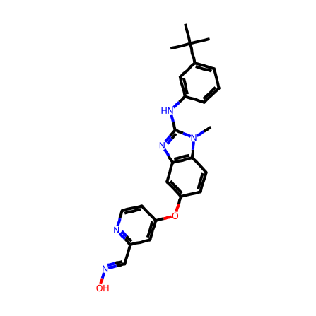 Cn1c(Nc2cccc(C(C)(C)C)c2)nc2cc(Oc3ccnc(/C=N/O)c3)ccc21